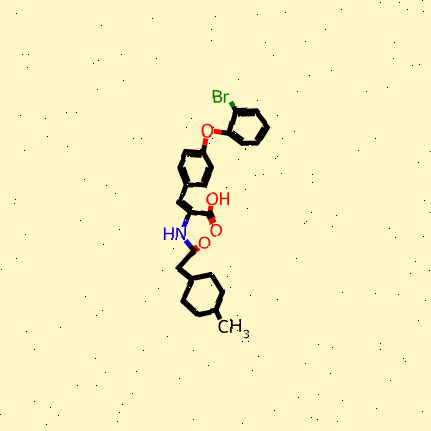 CC1CCC(CC(=O)NC(=Cc2ccc(Oc3ccccc3Br)cc2)C(=O)O)CC1